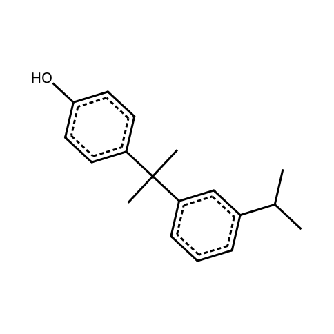 CC(C)c1cccc(C(C)(C)c2ccc(O)cc2)c1